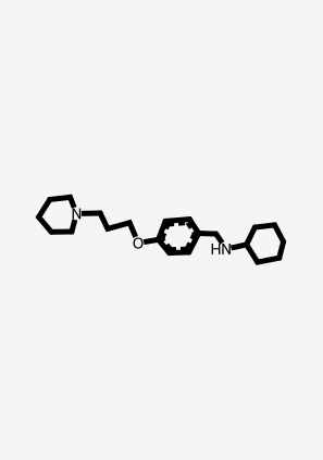 c1cc(OCCCN2CCCCC2)ccc1CNC1CCCCC1